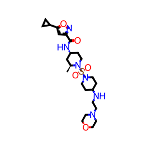 C[C@H]1C[C@@H](NC(=O)c2cc(C3CC3)on2)CCN1S(=O)(=O)N1CCC(NCCN2CCOCC2)CC1